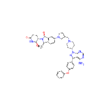 C=C1c2ccc(N3CCC(CN4CCC(n5nc(-c6ccc(Oc7ccccc7)cc6)c6c(N)ncnc65)CC4)C3)cc2C(=O)N1C1CCC(=O)NC1=O